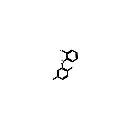 [CH2]c1ccccc1Oc1cc(C)ccc1C